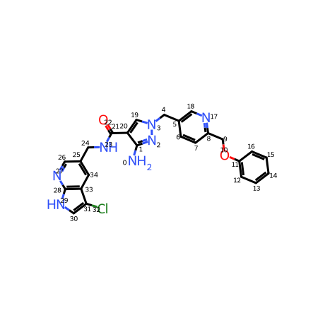 Nc1nn(Cc2ccc(COc3ccccc3)nc2)cc1C(=O)NCc1cnc2[nH]cc(Cl)c2c1